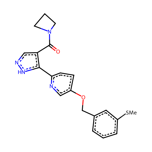 CSc1cccc(COc2ccc(-c3[nH]ncc3C(=O)N3CCC3)nc2)c1